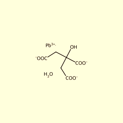 O.O=C([O-])CC(O)(CC(=O)[O-])C(=O)[O-].[Pb+3]